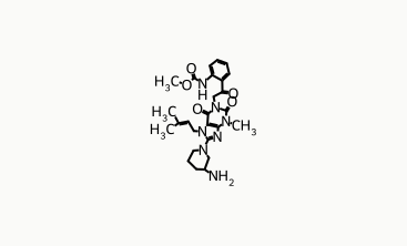 COC(=O)Nc1ccccc1C(=O)Cn1c(=O)c2c(nc(N3CCCC(N)C3)n2CC=C(C)C)n(C)c1=O